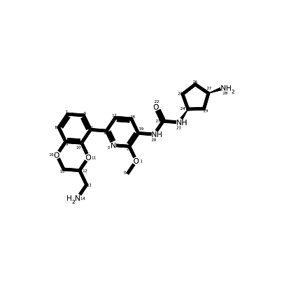 COc1nc(-c2cccc3c2OC(CN)CO3)ccc1NC(=O)N[C@H]1CC[C@@H](N)C1